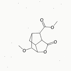 COC(=O)C1C2CC3C(OC(=O)C31)C2OC